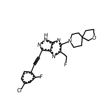 FCc1nc2c(C#Cc3ccc(Cl)cc3F)n[nH]c2nc1N1CCC2(CCOC2)CC1